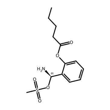 CCCCC(=O)Oc1ccccc1[C@H](N)OS(C)(=O)=O